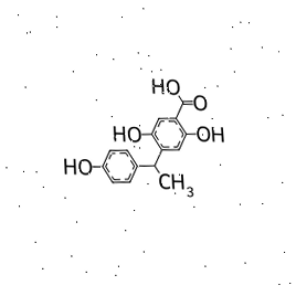 CC(c1ccc(O)cc1)c1cc(O)c(C(=O)O)cc1O